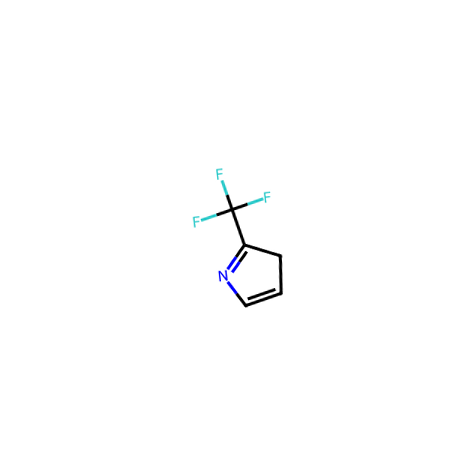 FC(F)(F)C1=NC=CC1